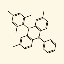 Cc1cc(C)c(B2c3cc(C)ccc3N(c3ccccc3)c3ccc(C)cc32)c(C)c1